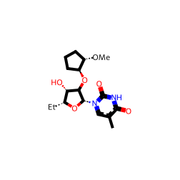 CC[C@H]1O[C@@H](n2cc(C)c(=O)[nH]c2=O)C(O[C@H]2CCC[C@@H]2OC)[C@H]1O